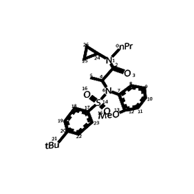 CCCN(C(=O)C(C)N(c1ccccc1OC)S(=O)(=O)c1ccc(C(C)(C)C)cc1)C1CC1